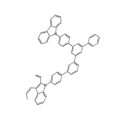 C=Cc1c(/C=C\C)c2ccccc2n1-c1ccc(-c2cccc(-c3cc(-c4ccccc4)cc(-c4ccc(-n5c6ccccc6c6ccccc65)cc4)c3)c2)cc1